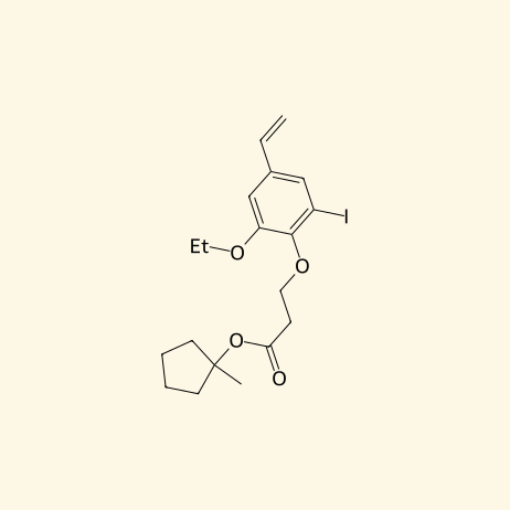 C=Cc1cc(I)c(OCCC(=O)OC2(C)CCCC2)c(OCC)c1